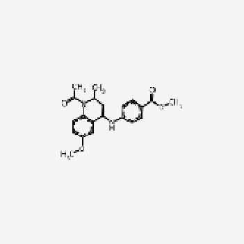 COC(=O)c1ccc(NC2CC(C)N(C(C)=O)c3ccc(OC)cc32)cc1